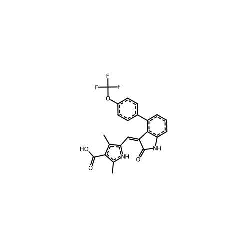 Cc1[nH]c(C=C2C(=O)Nc3cccc(-c4ccc(OC(F)(F)F)cc4)c32)c(C)c1C(=O)O